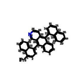 CC(C)c1ccc(-c2c3ccccc3c(-c3cccc4ccccc34)c3ccncc23)c2ccccc12